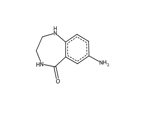 Nc1ccc2c(c1)C(=O)NCCN2